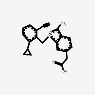 Cc1nn(Cc2c(C#N)cccc2C2CC2)c2cc(CC(=O)O)ccc12